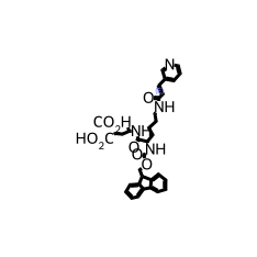 O=C(O)CCC(NC(=O)C(CCCCNC(=O)/C=C/c1cccnc1)NC(=O)OCC1c2ccccc2-c2ccccc21)C(=O)O